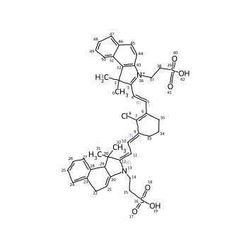 CC1(C)C(/C=C/C2=C(Cl)C(=C/C=C3/N(CCS(=O)(=O)O)C4=CCc5ccccc5C4C3(C)C)/CCC2)=[N+](CCS(=O)(=O)O)c2ccc3ccccc3c21